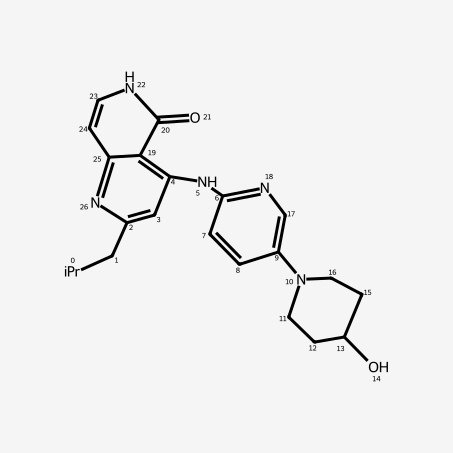 CC(C)Cc1cc(Nc2ccc(N3CCC(O)CC3)cn2)c2c(=O)[nH]ccc2n1